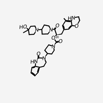 Cc1cc(C[C@@H](OC(=O)N2CCC(N3CCc4ccccc4NC3=O)CC2)C(=O)N2CCC(N3CCC(C)(O)CC3)CC2)cc2c1NCCO2